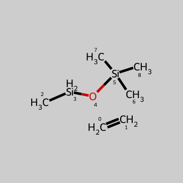 C=C.C[SiH2]O[Si](C)(C)C